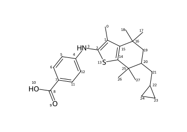 Cc1c(Nc2ccc(C(=O)O)cc2)sc2c1C(C)(C)CC(CC1CC1)C2(C)C